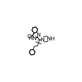 CC(C)(CCc1ccccc1)[C@@H](c1nc2ccccc2c(=O)[nH]1)N1CCNCC1